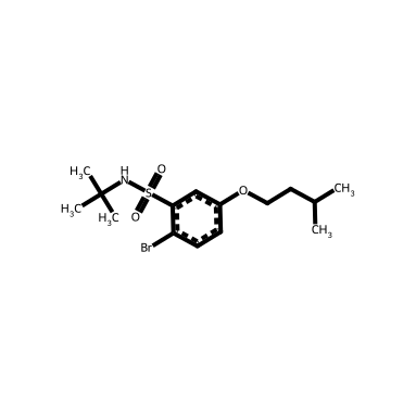 CC(C)CCOc1ccc(Br)c(S(=O)(=O)NC(C)(C)C)c1